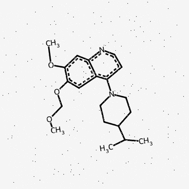 COCOc1cc2c(N3CCC(C(C)C)CC3)ccnc2cc1OC